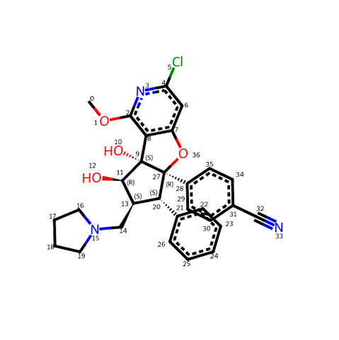 COc1nc(Cl)cc2c1[C@]1(O)[C@H](O)[C@H](CN3CCCC3)[C@@H](c3ccccc3)[C@]1(c1ccc(C#N)cc1)O2